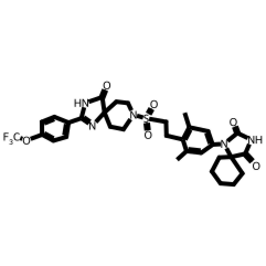 Cc1cc(N2C(=O)NC(=O)C23CCCCC3)cc(C)c1CCS(=O)(=O)N1CCC2(CC1)N=C(c1ccc(OC(F)(F)F)cc1)NC2=O